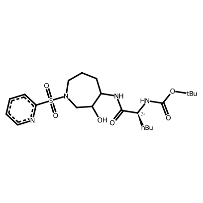 CCCC[C@H](NC(=O)OC(C)(C)C)C(=O)NC1CCCN(S(=O)(=O)c2ccccn2)CC1O